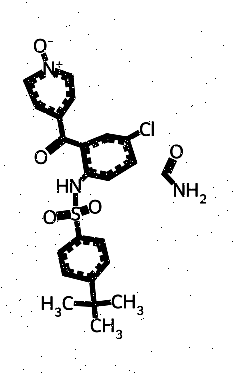 CC(C)(C)c1ccc(S(=O)(=O)Nc2ccc(Cl)cc2C(=O)c2cc[n+]([O-])cc2)cc1.NC=O